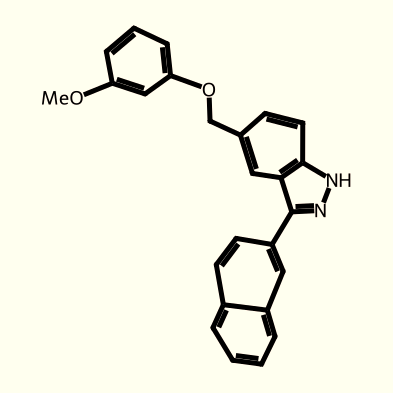 COc1cccc(OCc2ccc3[nH]nc(-c4ccc5ccccc5c4)c3c2)c1